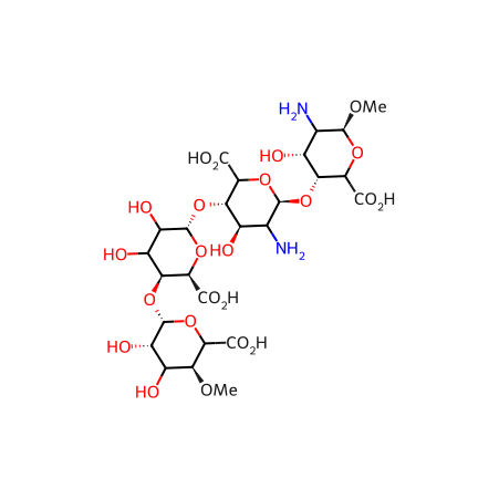 CO[C@H]1OC(C(=O)O)[C@H](O[C@@H]2OC(C(=O)O)[C@@H](O[C@@H]3O[C@@H](C(=O)O)[C@@H](O[C@@H]4OC(C(=O)O)[C@@H](OC)C(O)[C@@H]4O)C(O)C3O)[C@H](O)C2N)[C@H](O)C1N